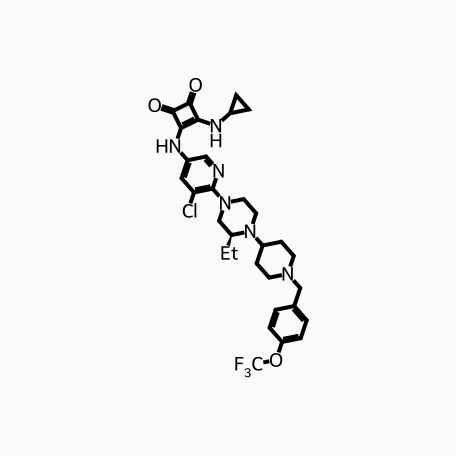 CC[C@H]1CN(c2ncc(Nc3c(NC4CC4)c(=O)c3=O)cc2Cl)CCN1C1CCN(Cc2ccc(OC(F)(F)F)cc2)CC1